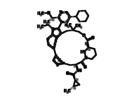 CCn1c(-c2cc(C3CCCCC3)cnc2[C@H](C)OC)c2c3cc(ccc31)-c1csc(n1)C[C@H](NC(=O)[C@H]1C[C@@H]1C)C(=O)N1CCC[C@H](N1)C(=O)OCC(C)(C)C2